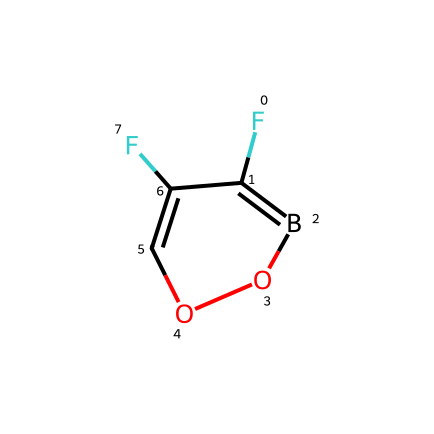 FC1=BOOC=C1F